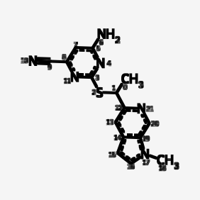 CC(Sc1nc(N)cc(C#N)n1)c1cc2ccn(C)c2cn1